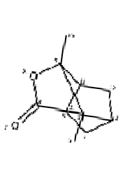 CC1(C)C2CC3C(=O)OC1(C)C3C2